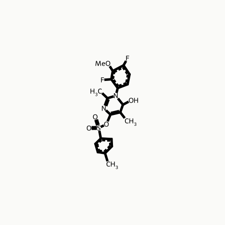 COc1c(F)ccc(N2C(C)=NC(OS(=O)(=O)c3ccc(C)cc3)=C(C)C2O)c1F